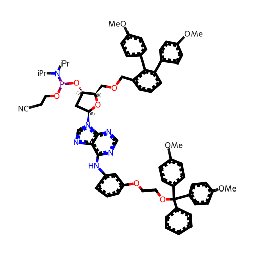 COc1ccc(-c2cccc(COC[C@H]3O[C@@H](n4cnc5c(Nc6cccc(OCCOC(c7ccccc7)(c7ccc(OC)cc7)c7ccc(OC)cc7)c6)ncnc54)C[C@@H]3OP(OCCC#N)N(C(C)C)C(C)C)c2-c2ccc(OC)cc2)cc1